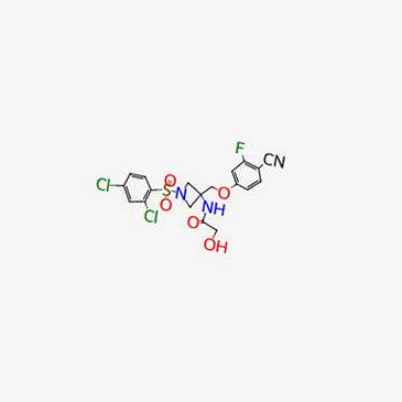 N#Cc1ccc(OCC2(NC(=O)CO)CN(S(=O)(=O)c3ccc(Cl)cc3Cl)C2)cc1F